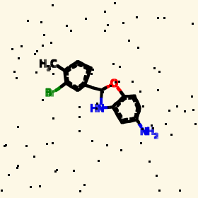 Cc1ccc(C2Nc3cc(N)ccc3O2)cc1Br